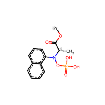 CC(C)OC(=O)[C@H](C)N(OP(=O)(O)O)c1cccc2ccccc12